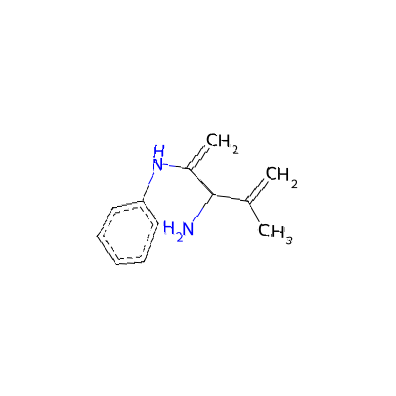 C=C(C)C(N)C(=C)Nc1ccccc1